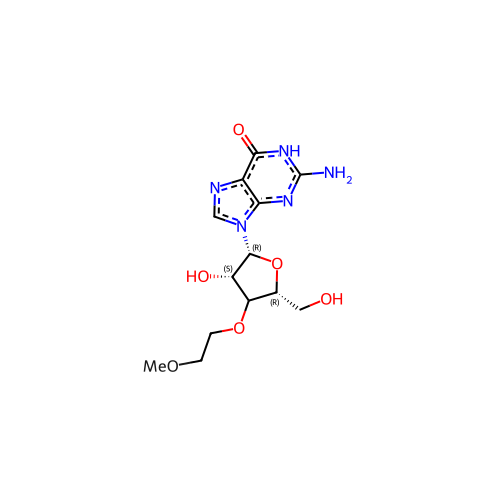 COCCOC1[C@@H](CO)O[C@@H](n2cnc3c(=O)[nH]c(N)nc32)[C@H]1O